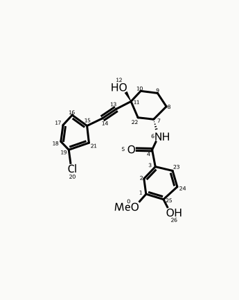 COc1cc(C(=O)N[C@H]2CCC[C@@](O)(C#Cc3cccc(Cl)c3)C2)ccc1O